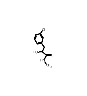 CNC(=O)C(N)Cc1cccc(Cl)c1